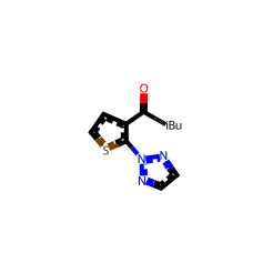 CCC(C)C(=O)c1ccsc1-n1nccn1